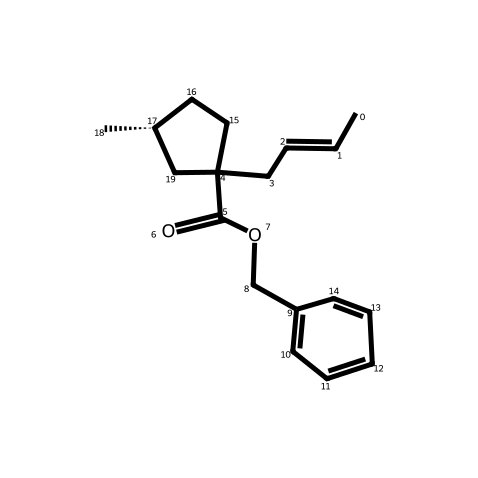 CC=CCC1(C(=O)OCc2ccccc2)CC[C@@H](C)C1